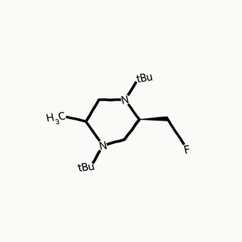 CC1CN(C(C)(C)C)[C@@H](CF)CN1C(C)(C)C